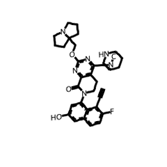 C#Cc1c(F)ccc2cc(O)cc(N3CCc4c(nc(OCC56CCCN5CCC6)nc4N4CC5CCC4CN5)C3=O)c12